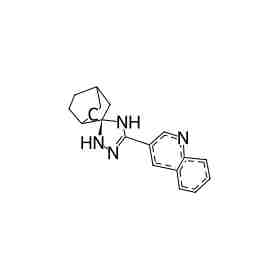 c1ccc2ncc(C3=NN[C@@]4(CC5CCC4CC5)N3)cc2c1